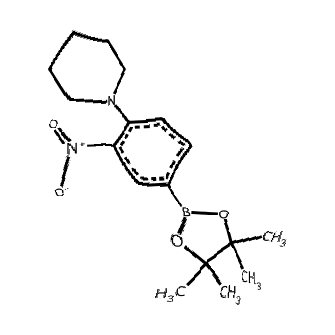 CC1(C)OB(c2ccc(N3CCCCC3)c([N+](=O)[O-])c2)OC1(C)C